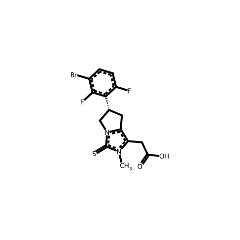 Cn1c(CC(=O)O)c2n(c1=S)C[C@H](c1c(F)ccc(Br)c1F)C2